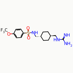 N=C(N)NC[C@H]1CC[C@H](CNS(=O)(=O)c2ccc(OC(F)(F)F)cc2)CC1